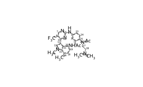 CC(=O)Nc1cc(Nc2ncc(C(F)(F)F)c(-c3cn(C)c4c(C)cccc34)n2)ccc1N(CCN(C)C)C(C)=O